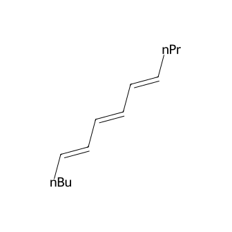 [CH2]CCCC=CC=CC=CCCC